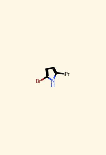 CC(C)c1ccc(Br)[nH]1